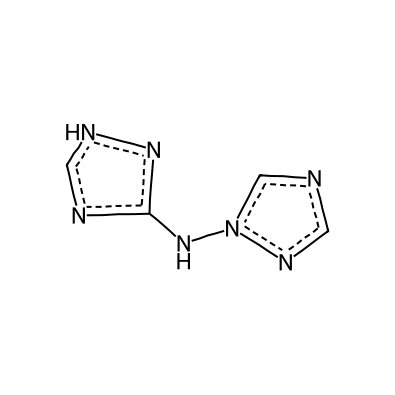 c1ncn(Nc2nc[nH]n2)n1